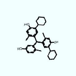 Cc1ccc(O)cc1C(c1cc(C2CCCCC2)c(O)cc1C)c1cc(C2CCCCC2)c(O)cc1C